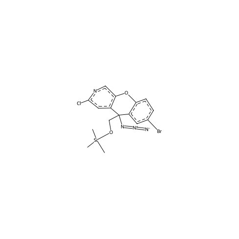 C[Si](C)(C)OCC1(N=[N+]=[N-])c2cc(Br)ccc2Oc2cnc(Cl)cc21